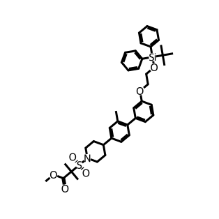 COC(=O)C(C)(C)S(=O)(=O)N1CCC(c2ccc(-c3cccc(OCCO[Si](c4ccccc4)(c4ccccc4)C(C)(C)C)c3)c(C)c2)CC1